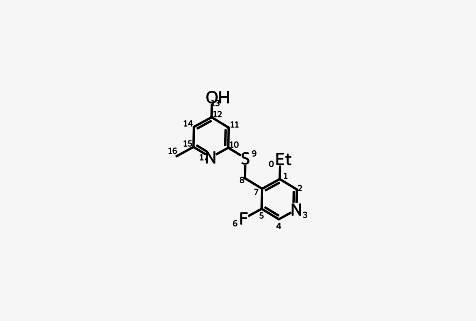 CCc1cncc(F)c1CSc1cc(O)cc(C)n1